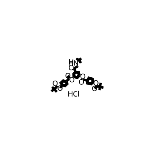 CC(C)(C)NCC(O)c1cc(OC(=O)c2ccc(OC(=O)C(C)(C)C)cc2)cc(OC(=O)c2ccc(OC(=O)C(C)(C)C)cc2)c1.Cl